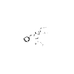 CC(C)C[C@H](N)C(=O)N[C@@H](Cc1ccccc1)C(=O)N[C@@H](CC(=O)O)C(=O)O